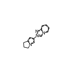 c1ccn2c[n+](-c3cc4n(c3)CCC4)nc2c1